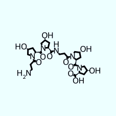 NCCC(=O)N1C[C@H](O)C[C@H]1C(=O)N1C[C@H](O)C[C@H]1C(=O)NCCC(=O)N1C[C@H](O)C[C@H]1C(=O)N1C[C@H](O)C[C@H]1C(=O)O